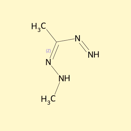 CN/N=C(/C)N=N